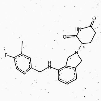 Cc1cc(CNc2cccc3c2CN([C@H]2CCC(=O)NC2=O)C3)ccc1F